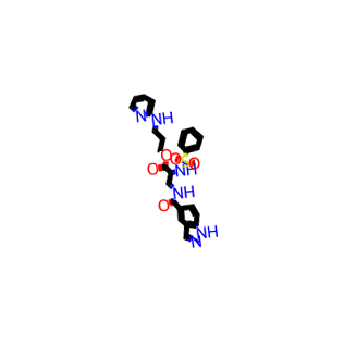 O=C(NCC(NS(=O)(=O)c1ccccc1)C(=O)OCCCNc1ccccn1)c1ccc2[nH]ncc2c1